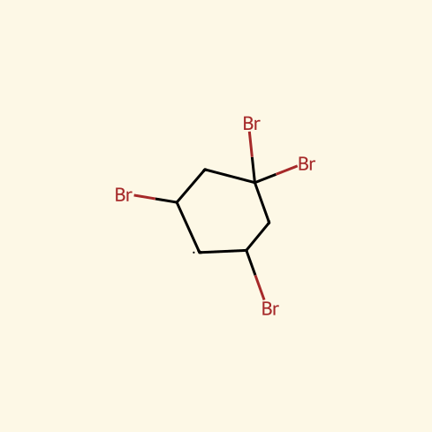 BrC1[CH]C(Br)CC(Br)(Br)C1